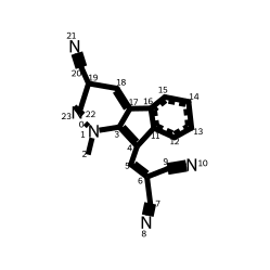 CN(C)C1=C(C=C(C#N)C#N)c2ccccc2/C1=C/C(C#N)C#N